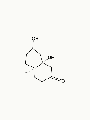 C[C@@]12CCC(=O)C[C@]1(O)CC(O)CC2